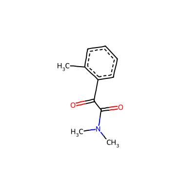 Cc1ccccc1C(=O)C(=O)N(C)C